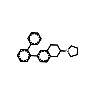 c1ccc(-c2ccccc2-c2ccc3c(c2)CCC(N2CCCC2)C3)cc1